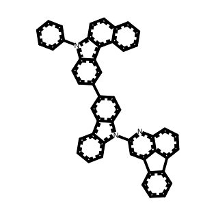 c1ccc(-n2c3ccc(-c4ccc5c(c4)c4ccccc4n5-c4cc5c6c(cccc6n4)-c4ccccc4-5)cc3c3c4ccccc4ccc32)cc1